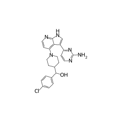 Nc1nccc(-c2c[nH]c3nccc(N4CCC(C(O)c5ccc(Cl)cc5)CC4)c23)n1